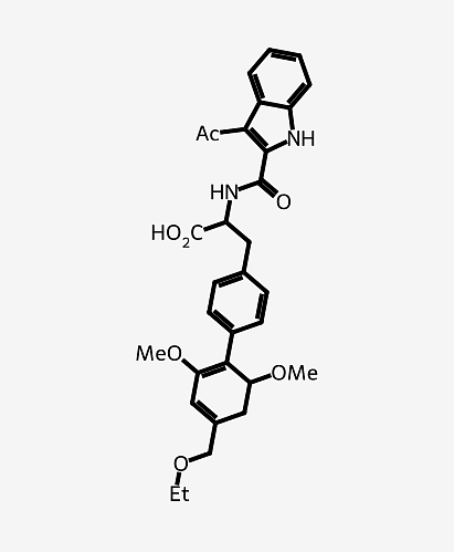 CCOCC1=CC(OC)=C(c2ccc(CC(NC(=O)c3[nH]c4ccccc4c3C(C)=O)C(=O)O)cc2)C(OC)C1